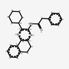 O=C(Cc1ccccc1)Nc1nc2c(nc1C1CCCCC1)-c1ccccc1CC2